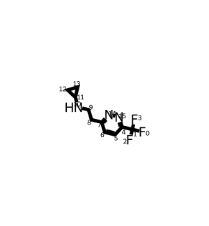 FC(F)(F)c1ccc(CCNC2CC2)nn1